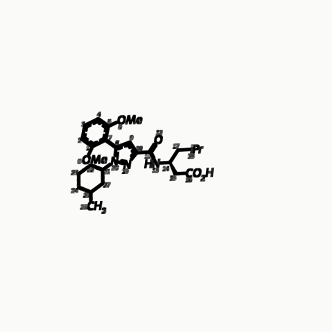 COc1cccc(OC)c1-c1cc(C(=O)N[C@H](CC(=O)O)CC(C)C)nn1C1CCCC(C)C1